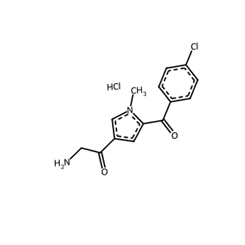 Cl.Cn1cc(C(=O)CN)cc1C(=O)c1ccc(Cl)cc1